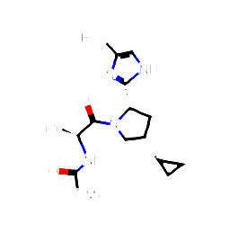 COC(=O)N[C@H](C(=O)N1C[C@@H](C2CC2)C[C@H]1c1nc(C)c[nH]1)C(C)C